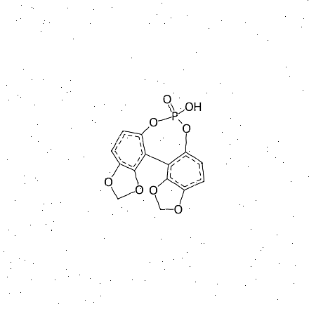 O=P1(O)Oc2ccc3c(c2-c2c(ccc4c2OCO4)O1)OCO3